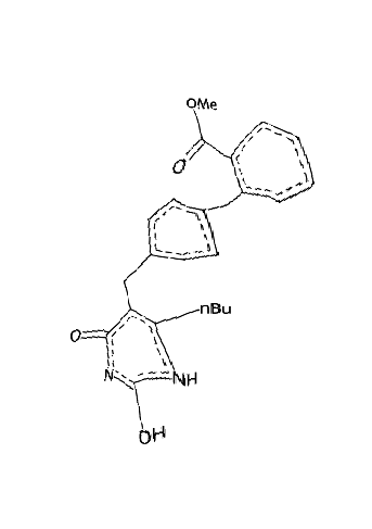 CCCCc1[nH]c(O)nc(=O)c1Cc1ccc(-c2ccccc2C(=O)OC)cc1